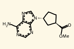 COC(=O)[C@@H]1CC[C@@H](n2cnc3c(N)ncnc32)C1